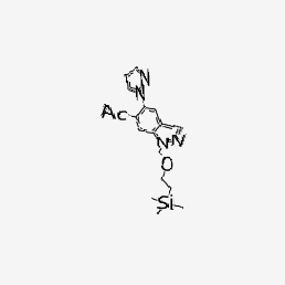 CC(=O)c1cc2c(cnn2COCC[Si](C)(C)C)cc1-n1cccn1